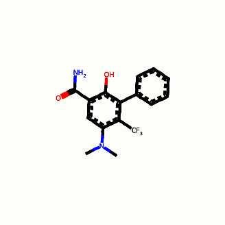 CN(C)c1cc(C(N)=O)c(O)c(-c2ccccc2)c1C(F)(F)F